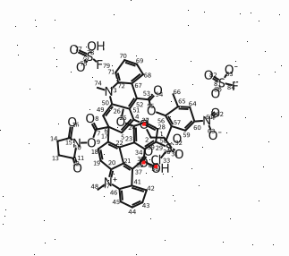 CCCOC1=CC(C(=O)ON2C(=O)CCC2=O)(c2ccc3c(c2-c2c(OC)ccc(S(=O)(=O)Cl)c2OC)c(C(=O)O)c2ccccc2[n+]3C)C=C2C1=C(C(=O)Oc1c(C)cc([N+](=O)[O-])cc1C)c1ccccc1N2C.O=S(=O)(O)F.O=S(=O)([O-])F